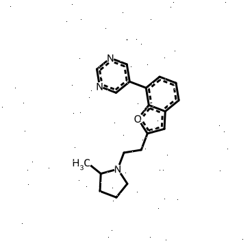 CC1CCCN1CCc1cc2cccc(-c3cncnc3)c2o1